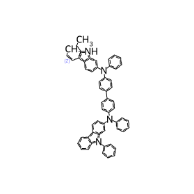 C/C=C\c1c(CC)[nH]c2cc(N(c3ccccc3)c3ccc(-c4ccc(N(c5ccccc5)c5ccc6c7ccccc7n(-c7ccccc7)c6c5)cc4)cc3)ccc12